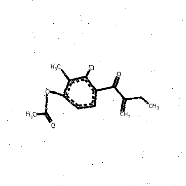 C=C(CC)C(=O)c1ccc(OC(C)=O)c(C)c1Cl